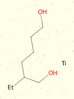 CCC(CO)CCCCO.[Ti]